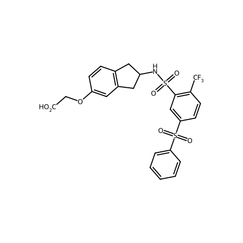 O=C(O)COc1ccc2c(c1)CC(NS(=O)(=O)c1cc(S(=O)(=O)c3ccccc3)ccc1C(F)(F)F)C2